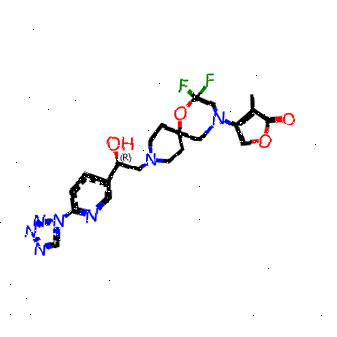 CC1=C(N2CC(F)(F)OC3(CCN(C[C@H](O)c4ccc(-n5cnnn5)nc4)CC3)C2)COC1=O